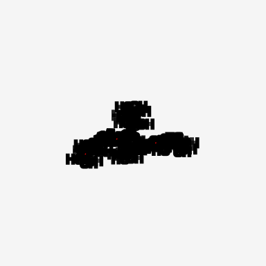 CC(CCCOCC(COCCCC(C)C1CCC2C3CCC4CC(O[C@@H]5CC(CO)[C@@H](C[C@H]6CC(CO)[C@@H](O)[C@H](O)C6O)[C@H](O)C5C)CCC4(C)C3CCC12C)(CO[C@@H]1OC(CO)[C@@H](O[C@H]2CC(CO)[C@@H](O)[C@H](O)C2O)[C@H](O)C1O)CO[C@H]1OC(CO)[C@H](OC2OC(CO)[C@H](O)C(O)[C@H]2O)C(O)[C@H]1O)C1CCC2C3CCC4CC(O[C@H]5OC(CO)[C@H](C[C@@H]6OC(CO)[C@H](O)C(O)[C@H]6O)C(O)[C@H]5O)CCC4(C)C3CCC12C